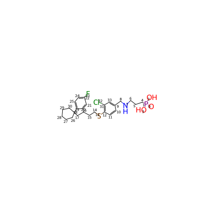 O=P(O)(O)CCCNCc1ccc(SCCCCC2(c3ccc(F)cc3)CCCCC2)c(Cl)c1